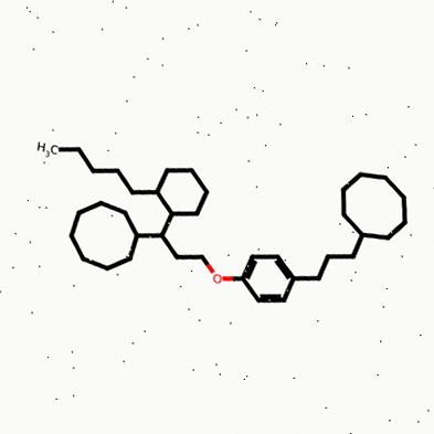 CCCCCC1CCCCC1C(CCOc1ccc(CCCC2CCCCCCC2)cc1)C1CCCCCCC1